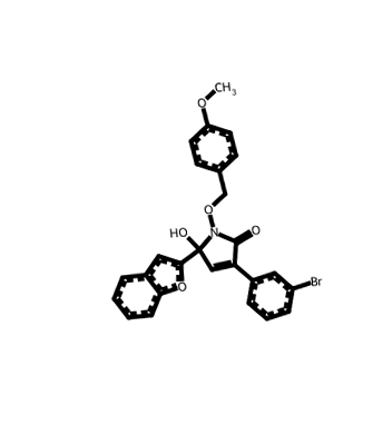 COc1ccc(CON2C(=O)C(c3cccc(Br)c3)=CC2(O)c2cc3ccccc3o2)cc1